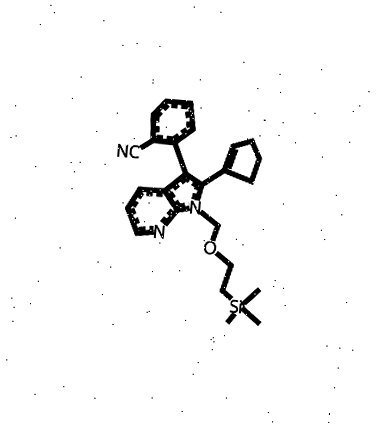 C[Si](C)(C)CCOCn1c(C2=CCCC2)c(-c2ccccc2C#N)c2cccnc21